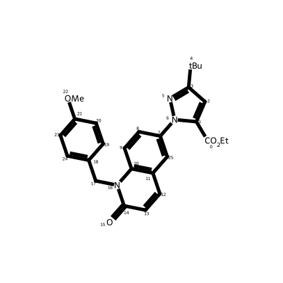 CCOC(=O)c1cc(C(C)(C)C)nn1-c1ccc2c(ccc(=O)n2Cc2ccc(OC)cc2)c1